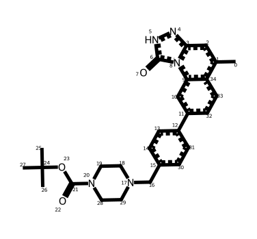 Cc1cc2n[nH]c(=O)n2c2cc(-c3ccc(CN4CCN(C(=O)OC(C)(C)C)CC4)cc3)ccc12